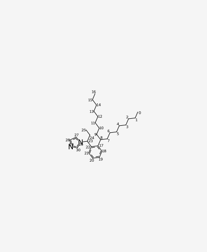 CCCCCCCCC(CCCCCCCC)c1ccccc1C(CC)n1ccnc1